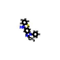 Cc1nc2cc3c(cc2n1-c1ccccc1)Sc1ccccc1N3